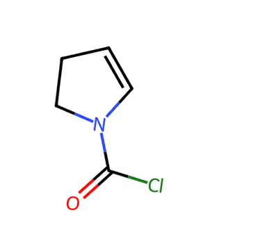 O=C(Cl)N1C=CCC1